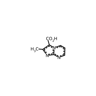 Cc1nc2ncccn2c1C(=O)O